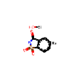 CCO.O=C1[N-]S(=O)(=O)c2ccccc21.[Na+]